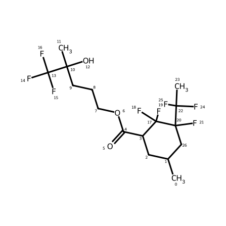 CC1CC(C(=O)OCCCC(C)(O)C(F)(F)F)C(F)(F)C(F)(C(C)(F)F)C1